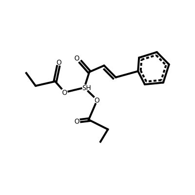 CCC(=O)O[SH](OC(=O)CC)C(=O)/C=C/c1ccccc1